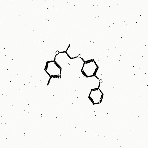 Cc1ccc(OC(C)COc2ccc(Oc3ccccc3)cc2)cn1